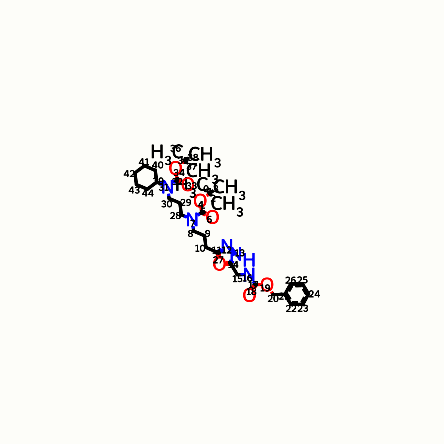 CC(C)(C)OC(=O)N(CCCc1nnc(CNC(=O)OCc2ccccc2)o1)CCCN(C(=O)OC(C)(C)C)C1CCCCC1